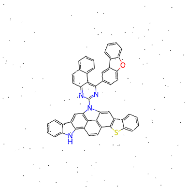 c1ccc2c(c1)ccc1nc(-n3c4cc5c6ccccc6[nH]c5c5ccc6c7sc8ccccc8c7cc3c6c54)nc(-c3ccc4oc5ccccc5c4c3)c12